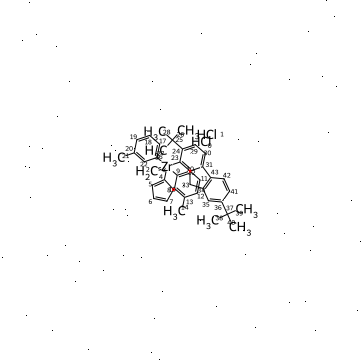 Cl.Cl.[CH2]=[Zr]([C]1=CC=CC1)([c]1cccc(C)c1)([c]1cccc(C)c1)[c]1c(C(C)(C)C)ccc2c1Cc1cc(C(C)(C)C)ccc1-2